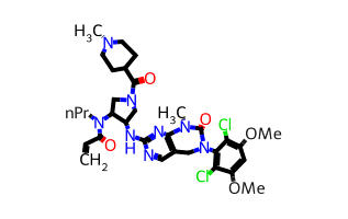 C=CC(=O)N(CCC)C1CN(C(=O)C2CCN(C)CC2)CC1Nc1ncc2c(n1)N(C)C(=O)N(c1c(Cl)c(OC)cc(OC)c1Cl)C2